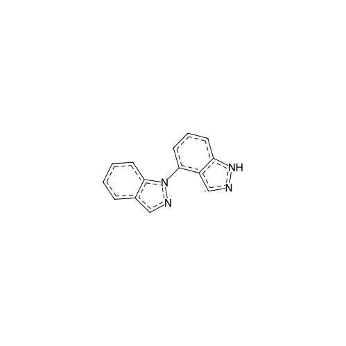 [c]1n[nH]c2cccc(-n3ncc4ccccc43)c12